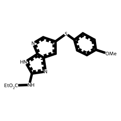 CCOC(=O)Nc1nc2cc(Sc3ccc(OC)cc3)cnc2[nH]1